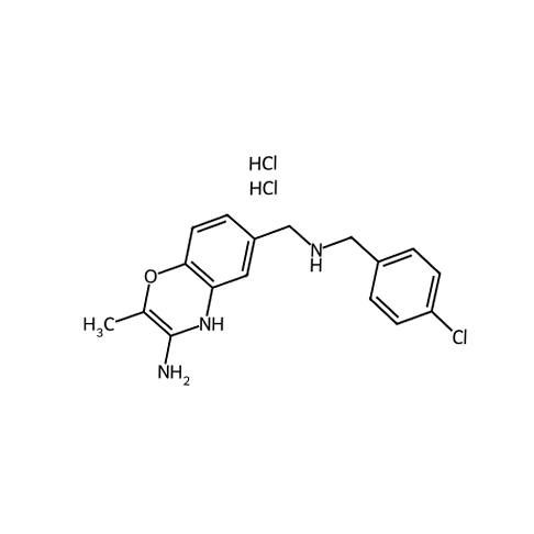 CC1=C(N)Nc2cc(CNCc3ccc(Cl)cc3)ccc2O1.Cl.Cl